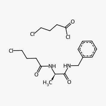 C[C@@H](NC(=O)CCCCl)C(=O)NCc1ccccc1.O=C(Cl)CCCCl